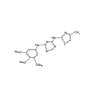 COc1cc(Nc2ncnc(Nc3nc(C)cs3)n2)cc(OC)c1OC